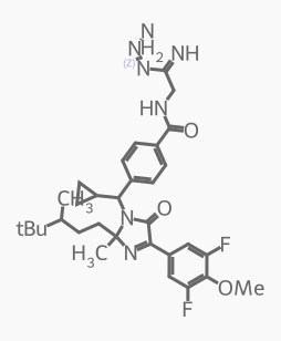 COc1c(F)cc(C2=NC(C)(CCC(C)C(C)(C)C)N(C(c3ccc(C(=O)NCC(=N)/N=N\N)cc3)C3CC3)C2=O)cc1F